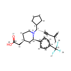 C=C(C)C#C[C@@H](C1CCCC1)N1CC[C@H](CC(=O)O)C[C@@H]1c1ccc(C(F)(F)F)cc1